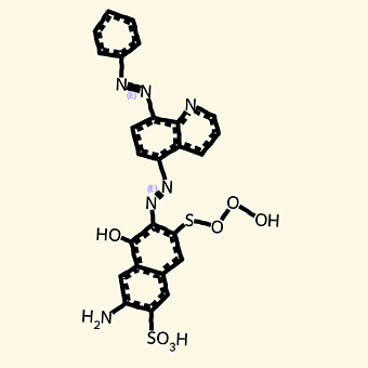 Nc1cc2c(O)c(/N=N/c3ccc(/N=N/c4ccccc4)c4ncccc34)c(SOOO)cc2cc1S(=O)(=O)O